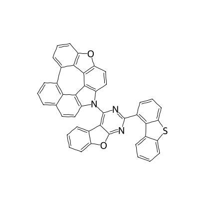 c1cc2c3c(c1)ccc1c3c3c4c(ccc3n1-c1nc(-c3cccc5sc6ccccc6c35)nc3oc5ccccc5c13)oc1cccc-2c14